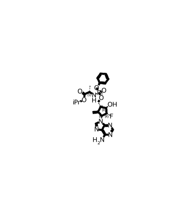 C=C1[C@@H](n2cnc3c(N)ncnc32)[C@@H](F)[C@H](O)[C@H]1CO[P@@](=O)(N[C@@H](C)C(=O)OC(C)C)Oc1ccccc1